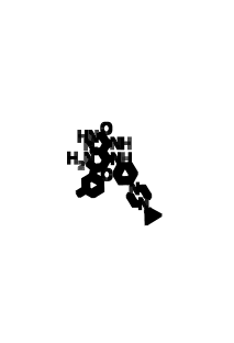 Cc1ccc2oc(/C(Nc3ccc(N4CCN(C5CC5)CC4)cc3)=C3/C(=N)C(=O)NN=C3N)c(C)c2c1